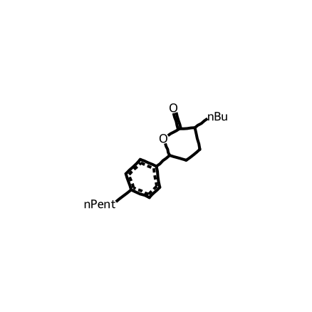 CCCCCc1ccc(C2CCC(CCCC)C(=O)O2)cc1